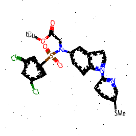 CSc1ccc(-n2ccc3cc(N(CC(=O)OC(C)(C)C)S(=O)(=O)c4cc(Cl)cc(Cl)c4)ccc32)nc1